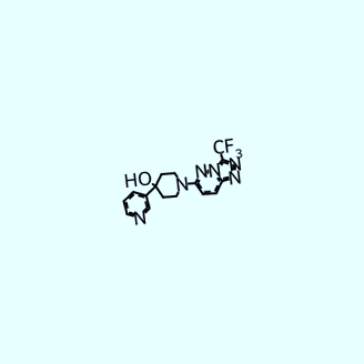 OC1(c2cccnc2)CCN(c2ccc3nnc(C(F)(F)F)n3n2)CC1